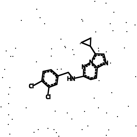 Clc1ccc(CNc2ccc3ncc(C4CC4)n3n2)cc1Cl